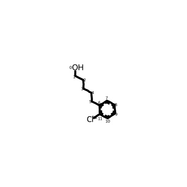 OCCCCCc1ccccc1Cl